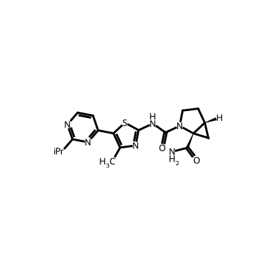 Cc1nc(NC(=O)N2CC[C@@H]3C[C@@]32C(N)=O)sc1-c1ccnc(C(C)C)n1